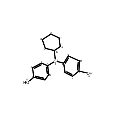 Oc1ccc([S+](c2ccc(O)cc2)C2CCCCC2)cc1